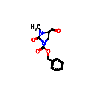 CN1C(=O)N(C(=O)OCc2ccccc2)CC1C=O